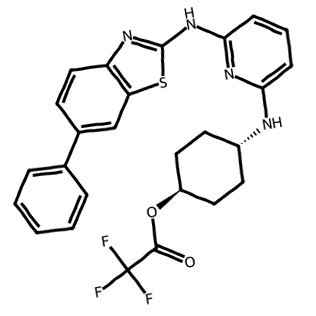 O=C(O[C@H]1CC[C@H](Nc2cccc(Nc3nc4ccc(-c5ccccc5)cc4s3)n2)CC1)C(F)(F)F